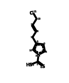 S=C(S)n1ccc(CC=CCCl)c1